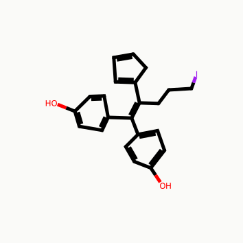 Oc1ccc(C(=C(CCCI)C2=CC=CC2)c2ccc(O)cc2)cc1